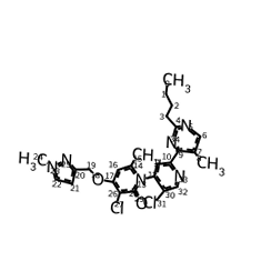 CCCCc1ncc(C)c(-c2cc(-n3c(C)cc(OCc4ccn(C)n4)c(Cl)c3=O)c(Cl)cn2)n1